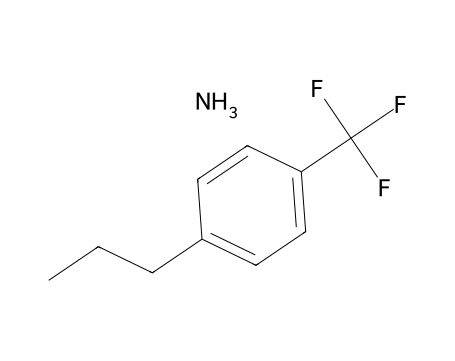 CCCc1ccc(C(F)(F)F)cc1.N